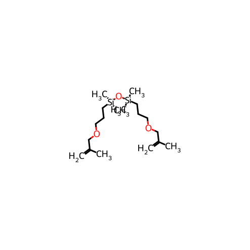 C=C(C)COCCC[Si](C)(C)O[Si](C)(C)CCCOCC(=C)C